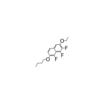 CCCCOc1ccc2cc(OCC)c(F)c(F)c2c1F